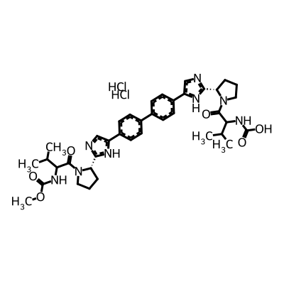 COC(=O)NC(C(=O)N1CCC[C@H]1c1ncc(-c2ccc(-c3ccc(-c4cnc([C@@H]5CCCN5C(=O)C(NC(=O)O)C(C)C)[nH]4)cc3)cc2)[nH]1)C(C)C.Cl.Cl